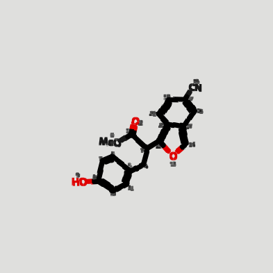 COC(=O)C(Cc1ccc(O)cc1)c1occ2cc(C#N)ccc12